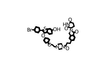 O=C1CCC(N2Cc3cc(CCC(=O)N4CCN(CCOc5ccc(Oc6c(-c7ccc(Br)cc7)sc7cc(O)ccc67)cc5)CC4)ccc3C2=O)C(=O)N1